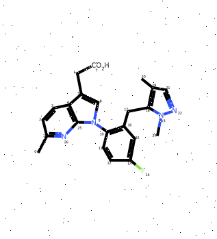 Cc1ccc2c(CC(=O)O)cn(-c3ccc(F)cc3Cc3c(C)cnn3C)c2n1